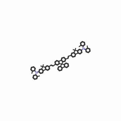 Cc1ccccc1N(c1ccc2c(c1)C(C)(C)c1cc(/C=C/c3ccc4c(c3)C3(c5ccccc5-c5ccccc53)c3cc(/C=C/c5ccc6c(c5)C(C)(C)c5cc(N(c7ccccc7C)c7ccccc7C)ccc5-6)ccc3-4)ccc1-2)c1ccccc1C